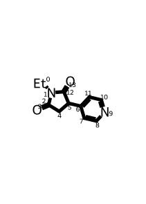 CCN1C(=O)CC(c2ccncc2)C1=O